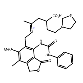 COc1c(C)c2c(c(NC(=O)Nc3ccccc3)c1C/C=C(\C)CC(CCN1CCSC1)C(=O)O)C(=O)OC2